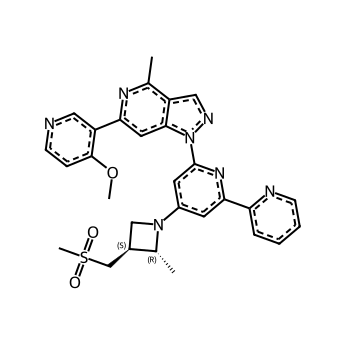 COc1ccncc1-c1cc2c(cnn2-c2cc(N3C[C@H](CS(C)(=O)=O)[C@H]3C)cc(-c3ccccn3)n2)c(C)n1